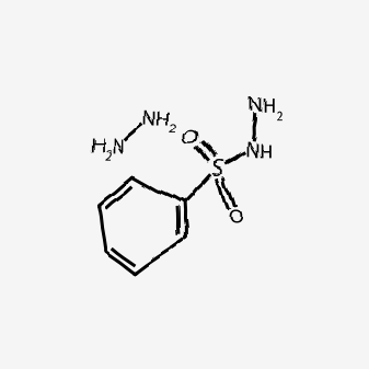 NN.NNS(=O)(=O)c1ccccc1